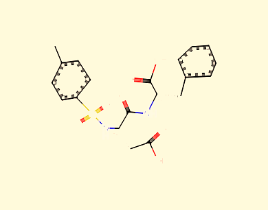 Cc1ccc(S(=O)(=O)N[C@@H](CC(=O)O)C(=O)N[C@@H](Cc2ccccc2)C(=O)O)cc1